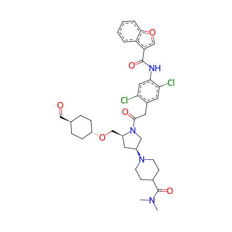 CN(C)C(=O)C1CCN([C@H]2C[C@@H](CO[C@H]3CC[C@H](C=O)CC3)N(C(=O)Cc3cc(Cl)c(NC(=O)c4coc5ccccc45)cc3Cl)C2)CC1